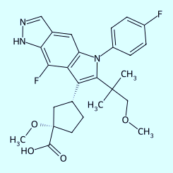 COCC(C)(C)c1c([C@@H]2CC[C@@](OC)(C(=O)O)C2)c2c(F)c3[nH]ncc3cc2n1-c1ccc(F)cc1